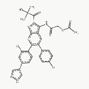 CC(=O)OCC(=O)Nc1c(C(=O)C(C)(C)O)oc2nc(-c3ccc(-c4cn[nH]c4)cc3Cl)c(-c3ccc(Cl)cc3)cc12